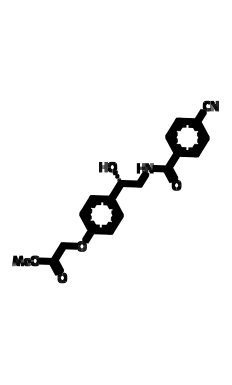 COC(=O)COc1ccc([C@H](O)CNC(=O)c2ccc(C#N)cc2)cc1